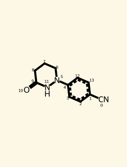 N#Cc1ccc(N2CCCC(=O)N2)cc1